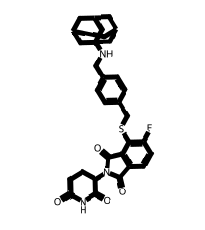 O=C1CCC(N2C(=O)c3ccc(F)c(SCc4ccc(CNC56CC7CC(CC(C7)C5)C6)cc4)c3C2=O)C(=O)N1